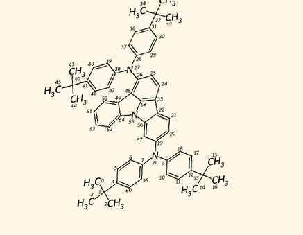 CC(C)(C)c1ccc(N(c2ccc(C(C)(C)C)cc2)c2ccc3c4ccc(N(c5ccc(C(C)(C)C)cc5)c5ccc(C(C)(C)C)cc5)c5c6ccccc6n(c3c2)c45)cc1